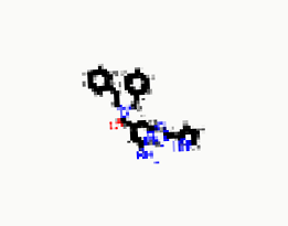 Nc1cc(C(=O)N(CCc2ccccc2)Cc2ccccc2)cc2nc(-c3ccc[nH]3)nn12